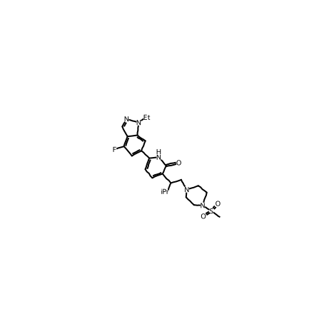 CCn1ncc2c(F)cc(-c3ccc(C(CN4CCN(S(C)(=O)=O)CC4)C(C)C)c(=O)[nH]3)cc21